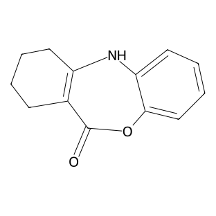 O=C1Oc2ccccc2NC2=C1CCCC2